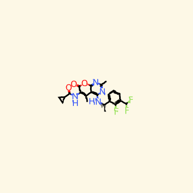 Cc1nc(N[C@H](C)c2cccc(C(F)F)c2F)c2c(C)c(NC(=O)C3CC3)c(=O)oc2n1